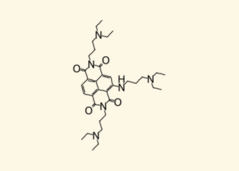 CCN(CC)CCCNc1cc2c3c(ccc4c3c1C(=O)N(CCCN(CC)CC)C4=O)C(=O)N(CCCN(CC)CC)C2=O